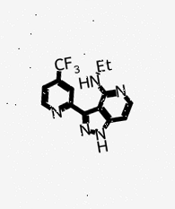 CCNc1nccc2[nH]nc(-c3cc(C(F)(F)F)ccn3)c12